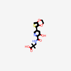 CC(C)(CNC(=O)c1ncc(-c2scc3c2OCCO3)cc1O)C(=O)O